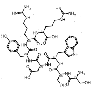 N=C(N)NCCC[C@H](NC(=O)[C@H](CCCNC(=N)N)NC(=O)[C@H](Cc1ccc(O)cc1)NC(=O)[C@H](CC(=O)O)NC(=O)[C@H](Cc1c[nH]c2ccccc12)NC(=O)[C@H](CO)NC(=O)[C@@H](N)CO)C(=O)O